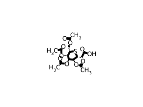 CC(=O)OC[C@@H]1S[C@H](CC(=O)O)[C@@H](OC(C)=O)[C@@H](OC(C)=O)[C@@H]1OC(C)=O